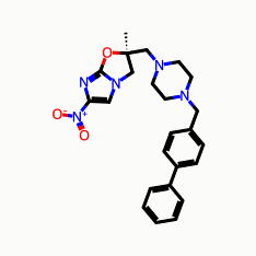 C[C@]1(CN2CCN(Cc3ccc(-c4ccccc4)cc3)CC2)Cn2cc([N+](=O)[O-])nc2O1